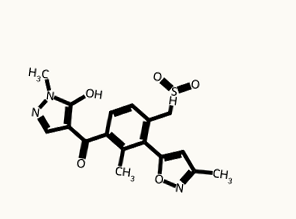 Cc1cc(-c2c(C[SH](=O)=O)ccc(C(=O)c3cnn(C)c3O)c2C)on1